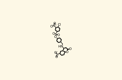 O=c1cc(NCc2ccc(OS(=O)(=O)c3ccc(Cl)c([N+](=O)[O-])c3)cc2)c2cc([N+](=O)[O-])ccc2o1